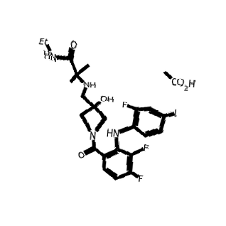 CC(=O)O.CCNC(=O)C(C)(C)NCC1(O)CN(C(=O)c2ccc(F)c(F)c2Nc2ccc(I)cc2F)C1